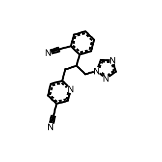 N#Cc1ccc(CC(Cn2cncn2)c2ccccc2C#N)nc1